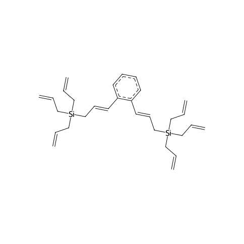 C=CC[Si](CC=C)(CC=C)CC=Cc1ccccc1C=CC[Si](CC=C)(CC=C)CC=C